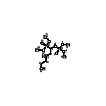 CCOP(=O)(OCC)OC(CNCCO)P(=O)(OCC)OCC